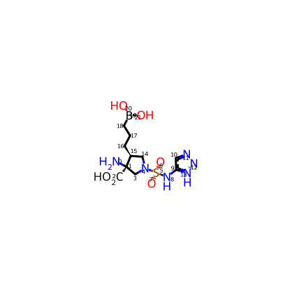 N[C@@]1(C(=O)O)CN(S(=O)(=O)Nc2cnn[nH]2)C[C@@H]1CCCB(O)O